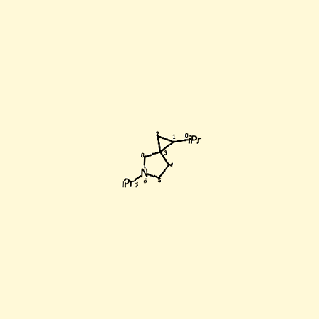 CC(C)C1CC12CCN(C(C)C)C2